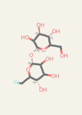 OCC1O[C@H](O[C@H]2OC(CF)[C@@H](O)C(O)C2O)C(O)[C@@H](O)[C@@H]1O